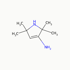 CC1(C)C=C(N)C(C)(C)N1